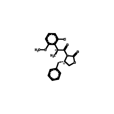 COc1cccc(Cl)c1[C@H](C)C(=O)N1C(=O)OC[C@@H]1Cc1ccccc1